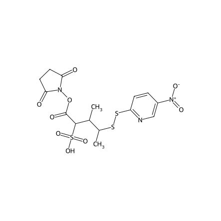 CC(SSc1ccc([N+](=O)[O-])cn1)C(C)C(C(=O)ON1C(=O)CCC1=O)S(=O)(=O)O